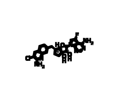 Nc1nc2cc(C[C@@H]3CC[C@@]4(O)[C@@H]3O[C@@H](n3cc(F)c5c(N)ncnc53)[C@@H]4O)ccc2cc1Cl